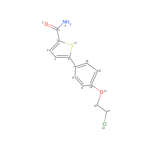 NC(=O)c1ccc(-c2ccc(OCCCl)cc2)s1